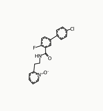 O=C(NCCc1cccc[n+]1[O-])c1cc(-c2ccc(Cl)cc2)ccc1F